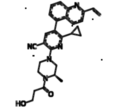 C=Cc1ccc2c(-c3cc(C#N)c(N4CCN(C(=O)CCO)[C@H](C)C4)nc3C3CC3)cccc2n1